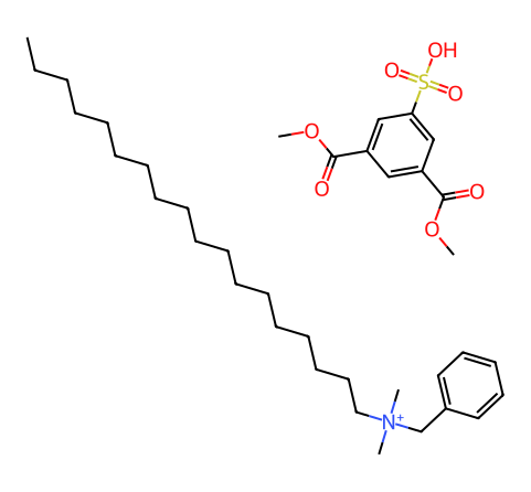 CCCCCCCCCCCCCCCCCC[N+](C)(C)Cc1ccccc1.COC(=O)c1cc(C(=O)OC)cc(S(=O)(=O)O)c1